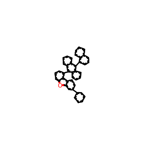 c1ccc(-c2ccc3c(c2)oc2cccc(-c4c5ccccc5c(-c5cccc6ccccc56)c5ccccc45)c23)cc1